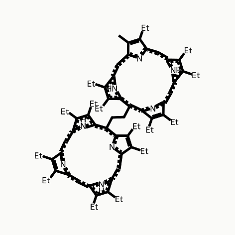 CCC1=C(C)c2cc3[nH]c(c(CCc4c5nc(cc6[nH]c(cc7nc(cc8[nH]c4c(CC)c8CC)C(CC)=C7CC)c(CC)c6CC)C(CC)=C5CC)c4nc(cc5[nH]c(cc1n2)c(CC)c5CC)C(CC)=C4CC)c(CC)c3CC